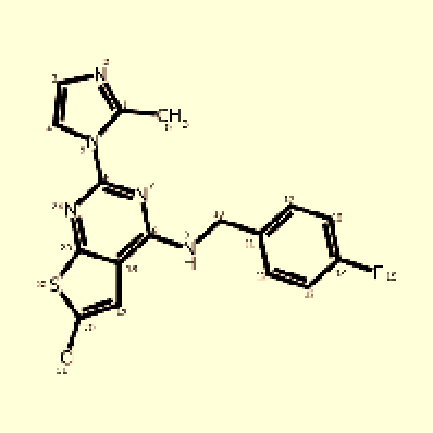 Cc1nccn1-c1nc(NCc2ccc(F)cc2)c2cc(Cl)sc2n1